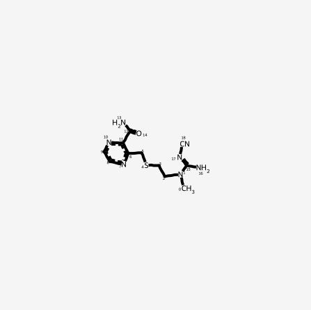 CN(CCSCc1nccnc1C(N)=O)C(N)=NC#N